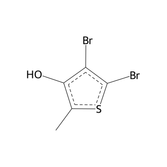 Cc1sc(Br)c(Br)c1O